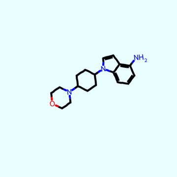 Nc1cccc2c1ccn2C1CCC(N2CCOCC2)CC1